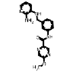 COc1cnc(C(=O)Nc2cccc(CNc3cccnc3N)c2)cn1